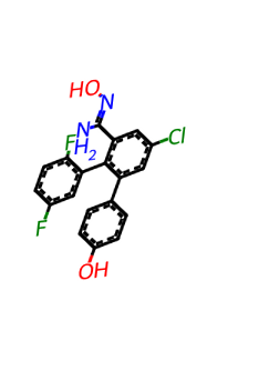 N/C(=N\O)c1cc(Cl)cc(-c2ccc(O)cc2)c1-c1cc(F)ccc1F